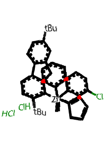 Cl.Cl.[CH2]=[Zr]([C]1=CC=CC1)([c]1ccccc1)([c]1cccc(Cl)c1)[c]1c(C(C)(C)C)ccc2c1Cc1cc(C(C)(C)C)ccc1-2